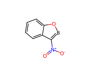 O=[N+]([O-])c1boc2ccccc12